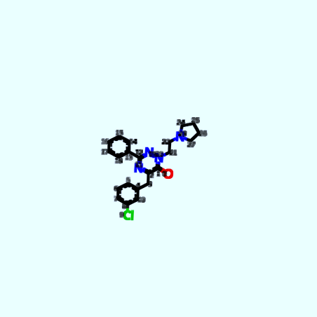 O=c1c(Cc2cccc(Cl)c2)nc(-c2ccccc2)nn1CCN1CCCC1